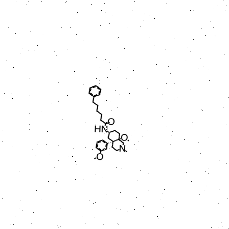 COc1cccc([C@@]23CCN(C)C[C@@]2(OC)CC[C@H](NC(=O)CCCCCc2ccccc2)C3)c1